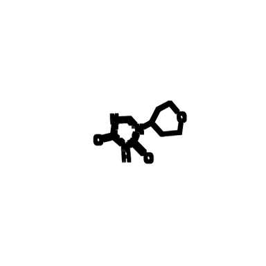 O=c1ncn(C2CCOCC2)c(=O)[nH]1